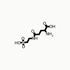 NC(CCC(=O)NCCS(=O)(=O)O)C(=O)O